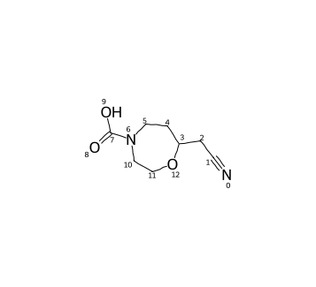 N#CCC1CCN(C(=O)O)CCO1